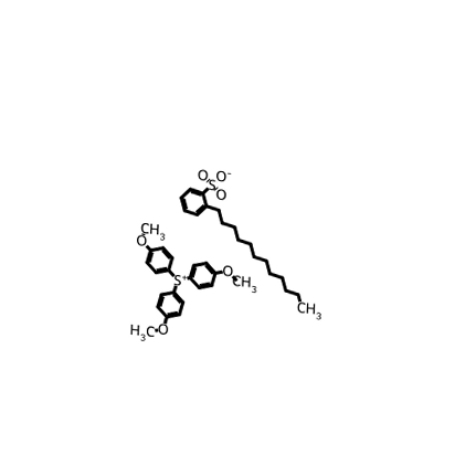 CCCCCCCCCCCCc1ccccc1S(=O)(=O)[O-].COc1ccc([S+](c2ccc(OC)cc2)c2ccc(OC)cc2)cc1